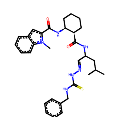 CC(C)CC(/C=N/NC(=S)NCc1ccccc1)NC(=O)[C@@H]1CCCC[C@@H]1NC(=O)c1cc2ccccc2n1C